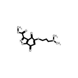 COC(=O)c1noc2c1C(=O)C(SCCCN(C)C)=CC2=O